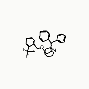 FC(F)(F)c1ccccc1COC1C2CCN(CC2)C1C(c1ccccc1)c1ccccc1